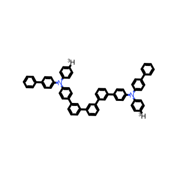 [3H]c1ccc(N(c2ccc(-c3ccccc3)cc2)c2ccc(-c3cccc(-c4cccc(-c5cccc(-c6ccc(N(c7ccc([3H])cc7)c7ccc(-c8ccccc8)cc7)cc6)c5)c4)c3)cc2)cc1